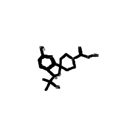 CC(C)(C)OC(=O)N1CCC2(CC1)O[C@@H](C(C)(C)C#N)c1ccc(C(F)(F)F)nc12